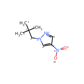 CC(C)(C)Cn1cc([N+](=O)[O-])cn1